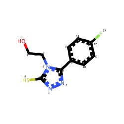 OCCn1c(S)nnc1-c1ccc(F)cc1